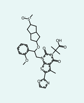 COc1ccccc1C(Cn1c(=O)n(C(C)(C)C(=O)O)c(=O)c2c(C)c(-c3ncco3)sc21)OC1CC2CC([S+](C)[O-])CC2C1